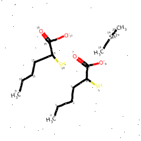 CCCCC(S)C(=O)[O-].CCCCC(S)C(=O)[O-].[CH3][Sn+2][CH3]